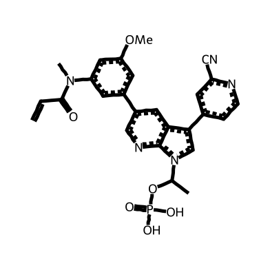 C=CC(=O)N(C)c1cc(OC)cc(-c2cnc3c(c2)c(-c2ccnc(C#N)c2)cn3C(C)OP(=O)(O)O)c1